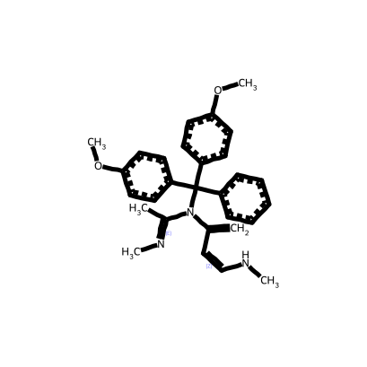 C=C(/C=C\NC)N(/C(C)=N/C)C(c1ccccc1)(c1ccc(OC)cc1)c1ccc(OC)cc1